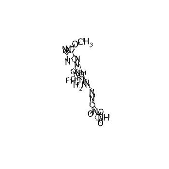 CCOc1cc(-c2ccc(N3CCC(COC/C(N)=C/N(N)CCCN4CCN(c5ccc6c(c5)CN(C5CCC(=O)NC5=O)C6=O)CC4)(NC(=O)c4cc(F)ccc4F)CC3)nc2)c2c(C#N)cnn2c1